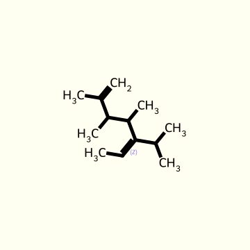 C=C(C)C(C)C(C)/C(=C\C)C(C)C